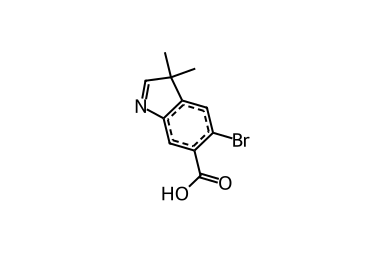 CC1(C)C=Nc2cc(C(=O)O)c(Br)cc21